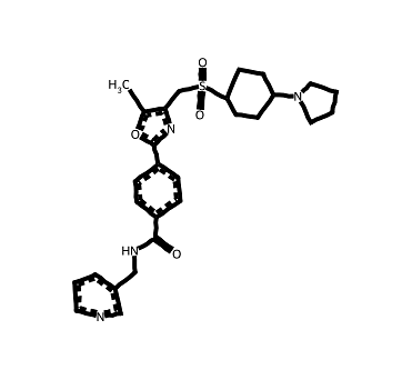 Cc1oc(-c2ccc(C(=O)NCc3cccnc3)cc2)nc1CS(=O)(=O)C1CCC(N2CCCC2)CC1